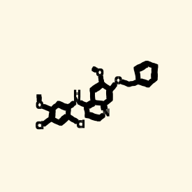 COc1cc(Nc2ccnc3cc(OCc4ccccc4)c(OC)cc23)c(Cl)cc1Cl